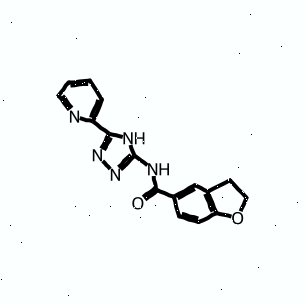 O=C(Nc1nnc(-c2ccccn2)[nH]1)c1ccc2c(c1)CCO2